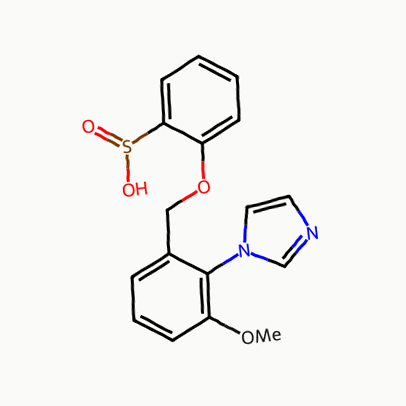 COc1cccc(COc2ccccc2S(=O)O)c1-n1ccnc1